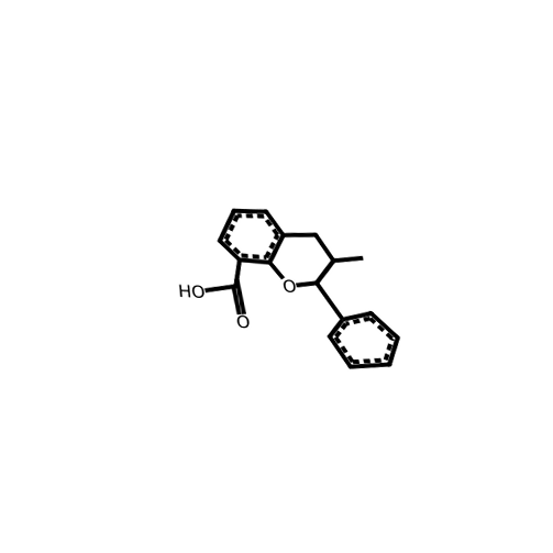 CC1Cc2cccc(C(=O)O)c2OC1c1ccccc1